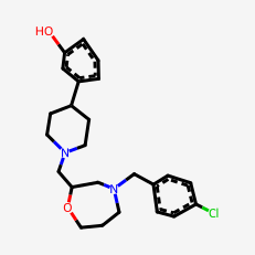 Oc1cccc(C2CCN(CC3CN(Cc4ccc(Cl)cc4)CCCO3)CC2)c1